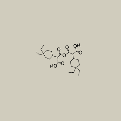 CCC1(CC)CCC(C(C(=O)O)C(=O)OC(=O)C(C(=O)O)C2CCC(CC)(CC)CC2)CC1